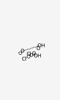 O=C(O)CCCCCCCCCCOc1ccccc1.O=C(O)COc1ccc(Cl)cc1Cl